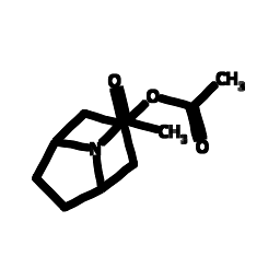 CC(=O)OC1CC2CCC(C1)N2C(C)=O